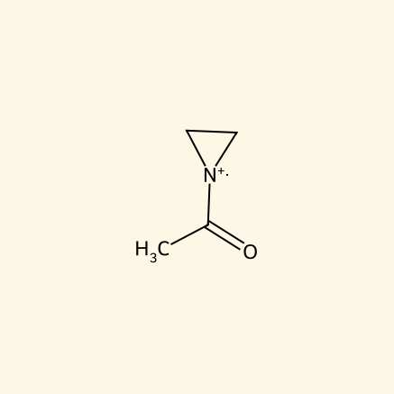 CC(=O)[N+]1CC1